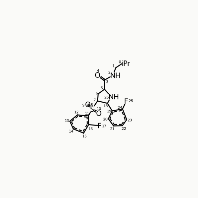 CC(C)CNC(=O)C1CC(S(=O)(=O)c2ccccc2F)C(c2ccccc2F)N1